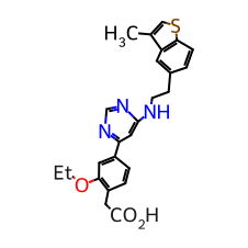 CCOc1cc(-c2cc(NCCc3ccc4scc(C)c4c3)ncn2)ccc1CC(=O)O